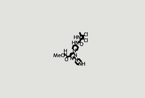 CONC(=O)c1cc(N2CCC(NC(=O)c3[nH]c(C)c(Cl)c3Cl)CC2)nc(N2CCNCC2)n1